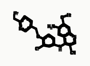 CCOc1cc2ncc(C#N)c(Nc3ccc(OCc4ccc(CC(C)C)nc4)c(Cl)c3)c2cc1N